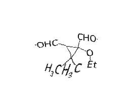 CCOC1([C]=O)C([C]=O)C1(C)C